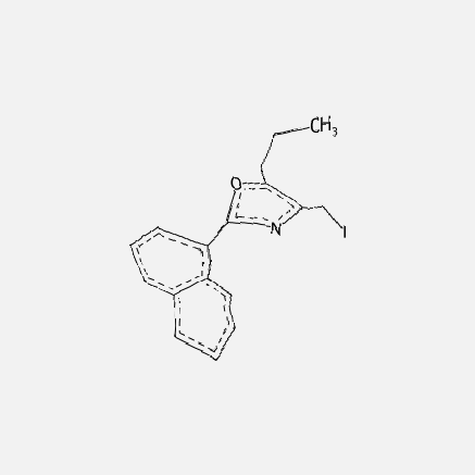 CCc1oc(-c2cccc3ccccc23)nc1CI